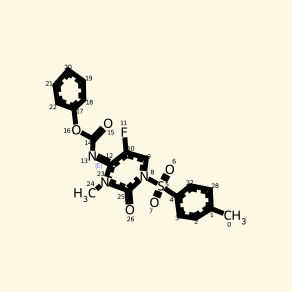 Cc1ccc(S(=O)(=O)n2cc(F)/c(=N\C(=O)Oc3ccccc3)n(C)c2=O)cc1